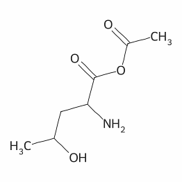 CC(=O)OC(=O)C(N)CC(C)O